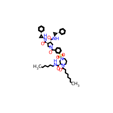 CCCCCCCC(=O)N1CCCN(S(=O)(=O)c2cccc(C(=O)N3C[C@@H](C(=O)N[C@H]4C[C@@H]4c4ccccc4)[C@H](C(=O)N[C@H]4C[C@@H]4c4ccccc4)C3)c2)C[C@@H]1C(=O)NCCCCCC